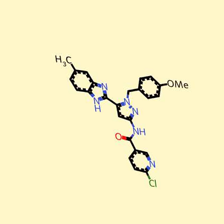 COc1ccc(Cn2nc(NC(=O)c3ccc(Cl)nc3)cc2-c2nc3cc(C)ccc3[nH]2)cc1